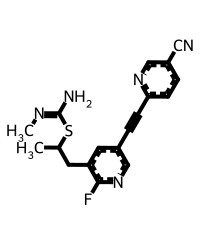 C/N=C(/N)SC(C)Cc1cc(C#Cc2ccc(C#N)cn2)cnc1F